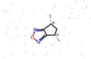 C[C@@H]1C[C@H](C)c2nonc21